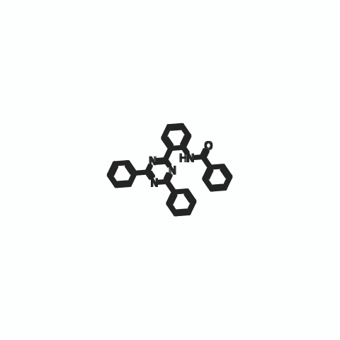 O=C(Nc1ccccc1-c1nc(-c2ccccc2)nc(-c2ccccc2)n1)c1ccccc1